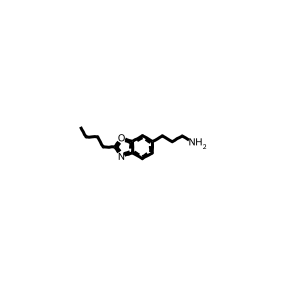 CCCCc1nc2ccc(CCCN)cc2o1